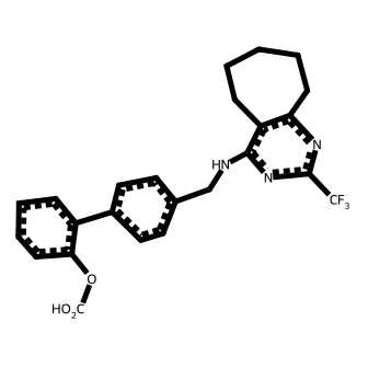 O=C(O)Oc1ccccc1-c1ccc(CNc2nc(C(F)(F)F)nc3c2CCCCC3)cc1